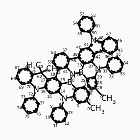 Cc1ccc2c(c1)N(c1ccccc1)c1cc3c(c4c1B2N1B2c5ccc(C)cc5N(c5ccccc5)c5c2c(cc2c5c5ccccc5n2-c2ccccc2)-c2cccc-4c21)C(C)(C)c1ccccc1N3c1ccccc1